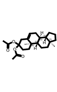 CC(=O)OC1(OC(C)=O)CC[C@@]2(C)C(=CC[C@H]3[C@@H]4CCC[C@@]4(C)CC[C@@H]32)C1